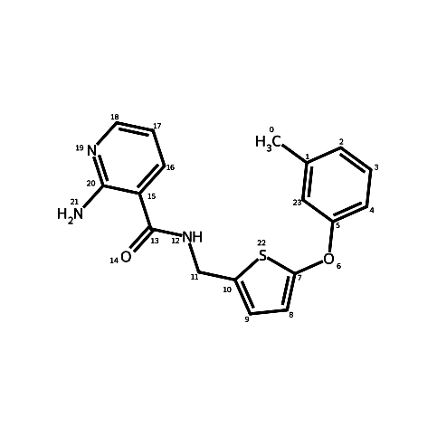 Cc1cccc(Oc2ccc(CNC(=O)c3cccnc3N)s2)c1